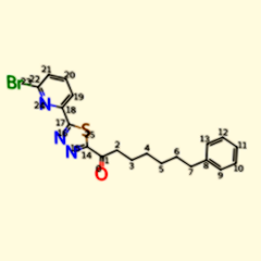 O=C(CCCCCCc1ccccc1)c1nnc(-c2cccc(Br)n2)s1